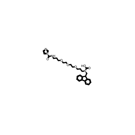 O=C(O)N(CCCOCCOCCOCCCNC(=O)n1ccnc1)CC1c2ccccc2-c2ccccc21